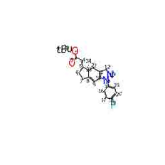 CC(C)(C)OC(=O)/C=C1\CCC2=Cc3c(cnn3-c3ccc(F)cc3)C[C@@]21C